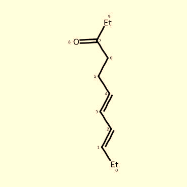 CCC=CC=CCCC(=O)CC